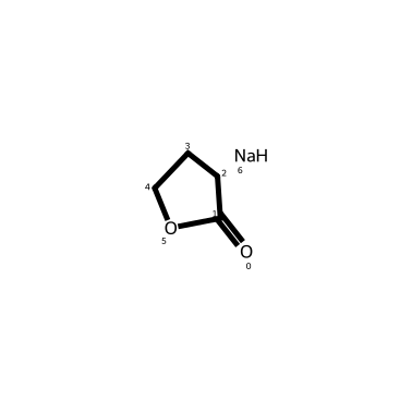 O=C1CCCO1.[NaH]